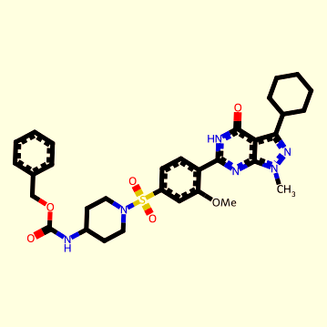 COc1cc(S(=O)(=O)N2CCC(NC(=O)OCc3ccccc3)CC2)ccc1-c1nc2c(c(C3CCCCC3)nn2C)c(=O)[nH]1